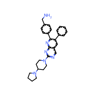 NCc1ccc(-c2nc3nc(N4CCC(N5CCCC5)CC4)ncc3cc2-c2ccccc2)cc1